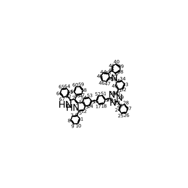 N=C(/C(=C1\NC(c2ccccc2)=Cc2cc(-c3ccc(-c4nc(-c5ccccc5)nc(-c5cccc(-n6c7ccccc7c7ccccc76)c5)n4)cc3)ccc21)c1ccccc1)c1ccccc1